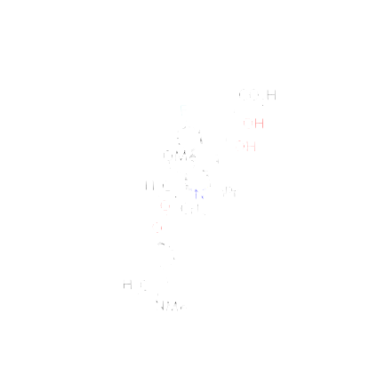 CNC(C)Cc1ccc(OCOC(C)(C)c2nc(C(C)C)c(/C=C/[C@@H](O)C[C@@H](O)CC(=O)O)c(-c3ccc(F)cc3)c2COC)cc1